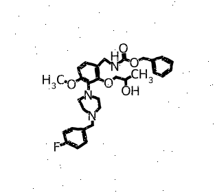 COc1ccc(CNC(=O)OCc2ccccc2)c(OCC(C)O)c1N1CCN(Cc2ccc(F)cc2)CC1